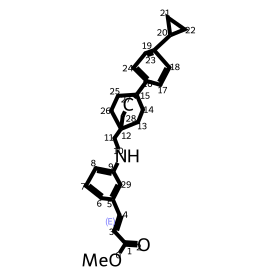 COC(=O)/C=C/c1cccc(NCC23CCC(c4ccc(C5CC5)cc4)(CC2)CC3)c1